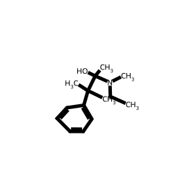 CCN(C)C(C)(O)C(C)(C)c1ccccc1